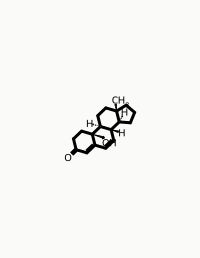 C[C@@]12CCC[C@H]1[C@@H]1C=CC3=CC(=O)CC[C@]3(CO)[C@H]1CC2